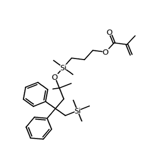 C=C(C)C(=O)OCCC[Si](C)(C)OC(C)(C)CC(C[Si](C)(C)C)(c1ccccc1)c1ccccc1